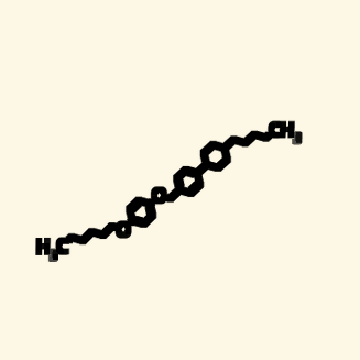 CCCCCCOc1ccc(OCc2ccc(C3CCC(CCCCC)CC3)cc2)cc1